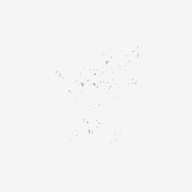 N#Cc1ccc(-c2cc(-c3nc(-c4ccccc4)nc(-c4ccccc4)n3)cc(-c3ccc(C#N)cc3)c2-n2c3ccccc3c3cc(-c4ccc(C(F)(F)F)cc4C(F)(F)F)ccc32)cc1